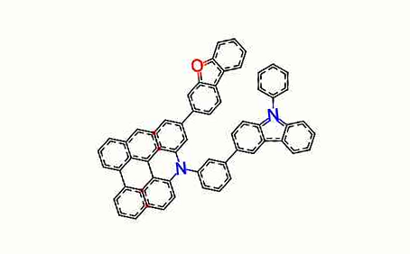 c1ccc(-c2cccc3cccc(-c4ccccc4N(c4cccc(-c5ccc6c(c5)oc5ccccc56)c4)c4cccc(-c5ccc6c(c5)c5ccccc5n6-c5ccccc5)c4)c23)cc1